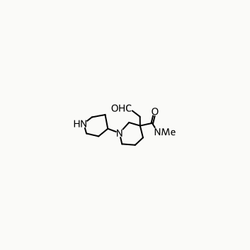 CNC(=O)C1(CC=O)CCCN(C2CCNCC2)C1